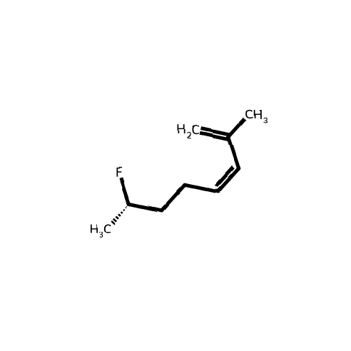 C=C(C)/C=C\CC[C@H](C)F